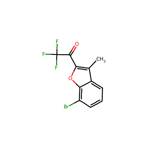 Cc1c(C(=O)C(F)(F)F)oc2c(Br)cccc12